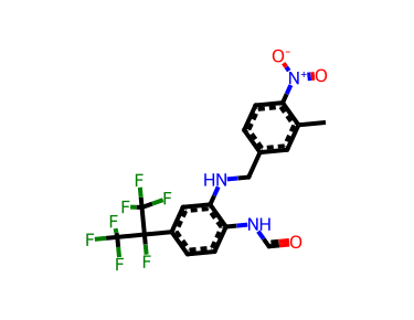 Cc1cc(CNc2cc(C(F)(C(F)(F)F)C(F)(F)F)ccc2NC=O)ccc1[N+](=O)[O-]